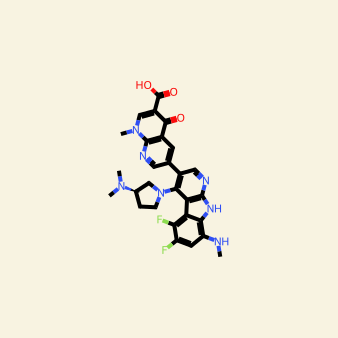 CNc1cc(F)c(F)c2c1[nH]c1ncc(-c3cnc4c(c3)c(=O)c(C(=O)O)cn4C)c(N3CC[C@@H](N(C)C)C3)c12